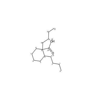 CCCCC1CCCCC1(CCCC)C(=O)O